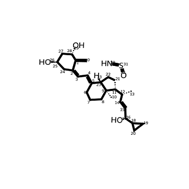 C=C1/C(=C\C=C2/CCC[C@]3(C)[C@@H]([C@H](C)/C=C/[C@@H](O)C4CC4)CC[C@@H]23)C[C@@H](O)C[C@@H]1O.N=S=O